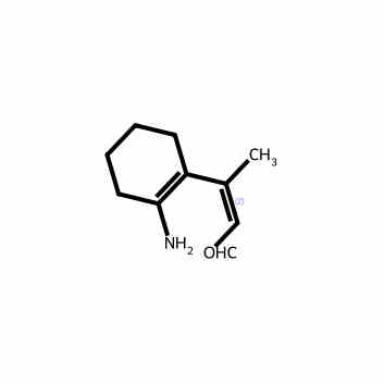 C/C(=C/C=O)C1=C(N)CCCC1